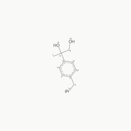 CC(C)Cc1ccc(C(C)(O)CO)cc1